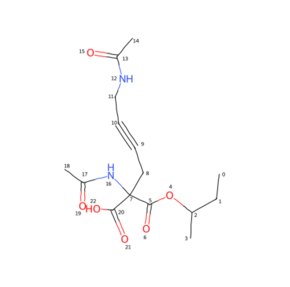 CCC(C)OC(=O)C(CC#CCNC(C)=O)(NC(C)=O)C(=O)O